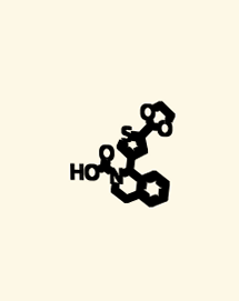 O=C(O)N1CCc2ccccc2C1c1csc(C2OCCO2)c1